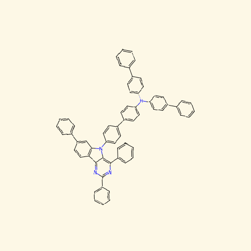 c1ccc(-c2ccc(N(c3ccc(-c4ccccc4)cc3)c3ccc(-c4ccc(-n5c6cc(-c7ccccc7)ccc6c6nc(-c7ccccc7)nc(-c7ccccc7)c65)cc4)cc3)cc2)cc1